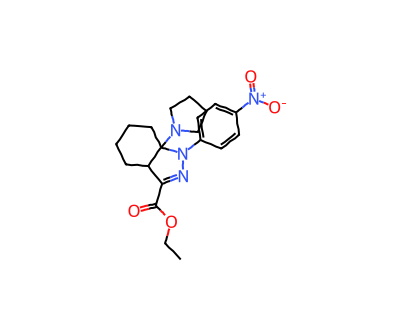 CCOC(=O)C1=NN(c2ccc([N+](=O)[O-])cc2)C2(N3CCCC3)CCCCC12